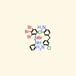 Brc1ccc(N(Br)CNc2ccccc2)c(Br)c1Br.Nc1ccc(Cc2ccc(N)c(Cl)c2)cc1Cl